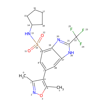 Cc1noc(C)c1-c1cc(S(=O)(=O)NC2CCCC2)c2nc(C(F)(F)F)[nH]c2c1